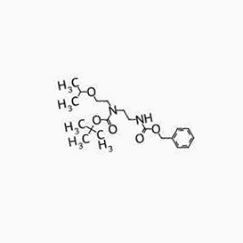 CC(C)OCCN(CCNC(=O)OCc1ccccc1)C(=O)OC(C)(C)C